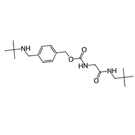 CC(C)(C)CNC(=O)CNC(=O)OCc1ccc(CNC(C)(C)C)cc1